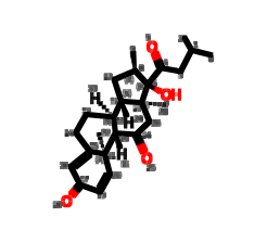 CC(C)CC(=O)[C@@]1(O)[C@H](C)C[C@H]2[C@@H]3CCC4=CC(=O)C=C[C@]4(C)[C@H]3C(=O)C[C@@]21C